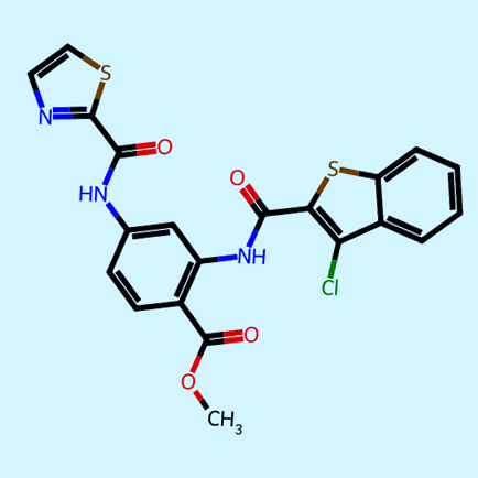 COC(=O)c1ccc(NC(=O)c2nccs2)cc1NC(=O)c1sc2ccccc2c1Cl